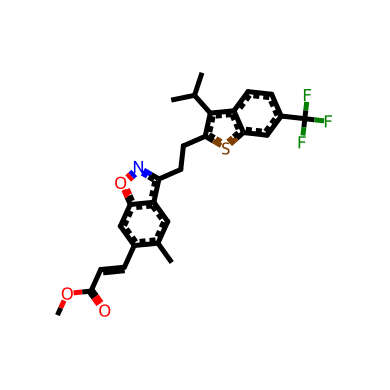 COC(=O)C=Cc1cc2onc(CCc3sc4cc(C(F)(F)F)ccc4c3C(C)C)c2cc1C